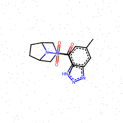 Cc1ccc(C)c(S(=O)(=O)N2C3CCC2CN(C(=O)c2cnn[nH]2)C3)c1